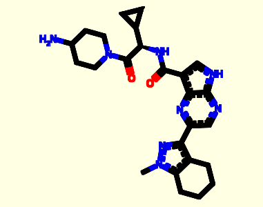 Cn1nc(-c2cnc3[nH]cc(C(=O)N[C@@H](C(=O)N4CCC(N)CC4)C4CC4)c3n2)c2c1CCCC2